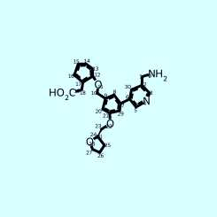 NCc1cncc(-c2cc(COc3ccccc3CC(=O)O)cc(OC[C@H]3CCCO3)c2)c1